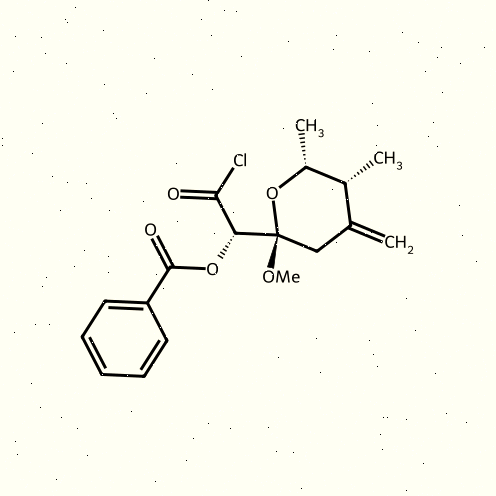 C=C1C[C@](OC)([C@H](OC(=O)c2ccccc2)C(=O)Cl)O[C@H](C)[C@@H]1C